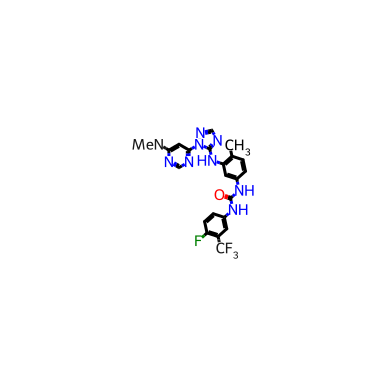 CNc1cc(-n2ncnc2Nc2cc(NC(=O)Nc3ccc(F)c(C(F)(F)F)c3)ccc2C)ncn1